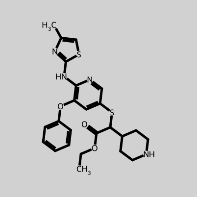 CCOC(=O)C(Sc1cnc(Nc2nc(C)cs2)c(Oc2ccccc2)c1)C1CCNCC1